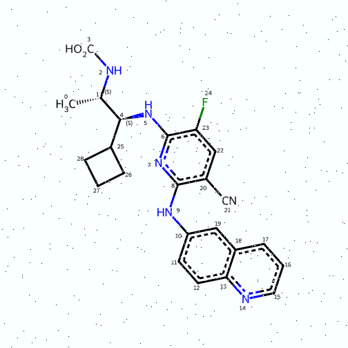 C[C@H](NC(=O)O)[C@@H](Nc1nc(Nc2ccc3ncccc3c2)c(C#N)cc1F)C1CCC1